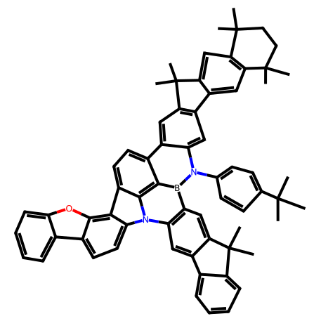 CC(C)(C)c1ccc(N2B3c4cc5c(cc4-n4c6ccc7c8ccccc8oc7c6c6ccc(c3c64)-c3cc4c(cc32)-c2cc3c(cc2C4(C)C)C(C)(C)CCC3(C)C)-c2ccccc2C5(C)C)cc1